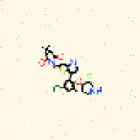 Cc1cc(Cl)cc(-c2ccnc3cc(CN4C(=O)C5C(C4=O)C5(C)C)sc23)c1O[C@H]1CCNC[C@@H]1F